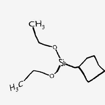 CCO[Si](OCC)C1CCC1